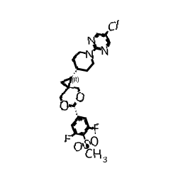 CS(=O)(=O)c1c(F)cc([C@H]2OC[C@@]3(CO2)C[C@@H]3C2CCN(c3ncc(Cl)cn3)CC2)cc1F